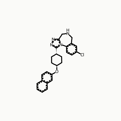 Clc1ccc2c(c1)CNCc1nnc([C@H]3CC[C@H](Oc4ccc5ccccc5c4)CC3)n1-2